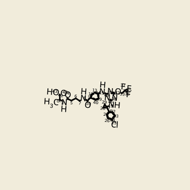 CC(NC(=O)CCCNC(=O)c1ccc(Nc2nc(NC3(c4ccc(Cl)cc4)CC3)nc(OCC(F)(F)F)n2)cc1)C(=O)O